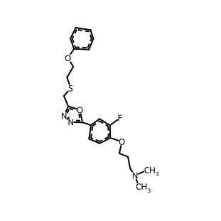 CN(C)CCCOc1ccc(-c2nnc(CSCCOc3ccccc3)o2)cc1F